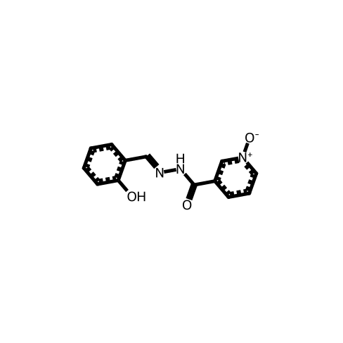 O=C(NN=Cc1ccccc1O)c1ccc[n+]([O-])c1